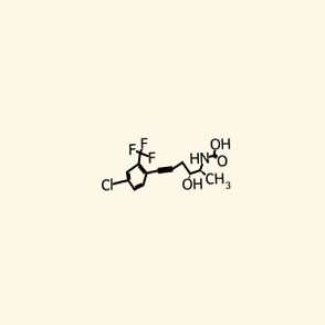 C[C@H](NC(=O)O)[C@H](O)CC#Cc1ccc(Cl)cc1C(F)(F)F